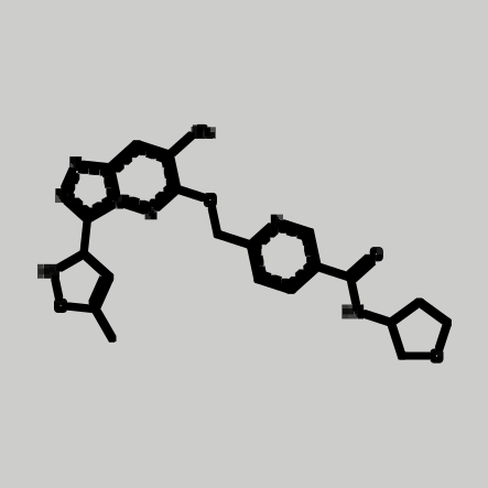 CC1=CC(c2nnc3cc(C(C)(C)C)c(OCc4ccc(C(=O)NC5CCOC5)cn4)nn23)NO1